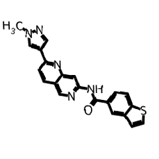 Cn1cc(-c2ccc3cnc(NC(=O)c4ccc5sccc5c4)cc3n2)cn1